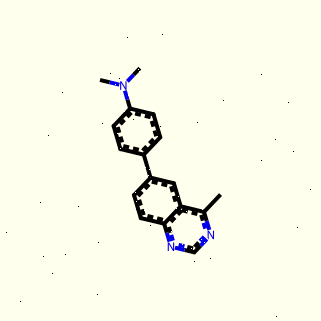 Cc1ncnc2ccc(-c3ccc(N(C)C)cc3)cc12